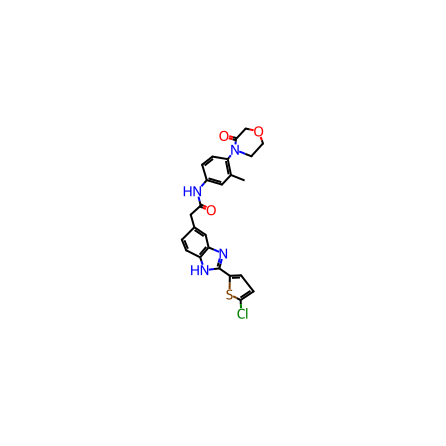 Cc1cc(NC(=O)Cc2ccc3[nH]c(-c4ccc(Cl)s4)nc3c2)ccc1N1CCOCC1=O